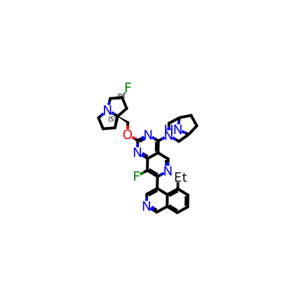 CCc1cccc2cncc(-c3ncc4c(N5CC6CCC(C5)N6)nc(OC[C@@]56CCCN5C[C@H](F)C6)nc4c3F)c12